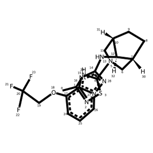 CC1=NSC(N2C[C@H]3CC[C@@H](C2)[C@@H]3Nc2nc3c(OCC(F)(F)F)cccn3n2)N1